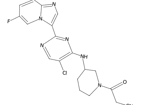 N#CCC(=O)N1CCCC(Nc2nc(-c3cnc4ccc(F)cn34)ncc2Cl)C1